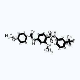 COc1cc(NC(=O)[C@H]2CC[C@H](OC)CC2)ccc1S(=O)(=O)Nc1cccc(C(F)(F)F)c1